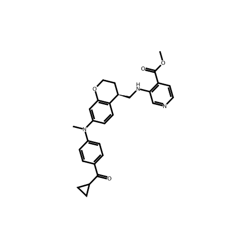 COC(=O)c1ccncc1NC[C@@H]1CCOc2cc(N(C)c3ccc(C(=O)C4CC4)cc3)ccc21